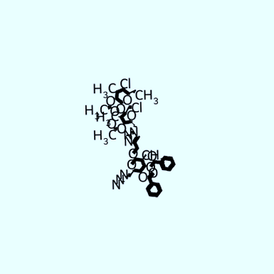 CC[C@H]1O[C@H](O[C@]2(CCl)O[C@H](Cn3cc(CO[C@H]4O[C@H](CN=[N+]=[N-])[C@@H](OC(=O)c5ccccc5)[C@H](OC(=O)c5ccccc5)[C@@H]4C)nn3)[C@@H](OC(C)=O)[C@@H]2C)[C@H](OC(C)=O)[C@@H](C)[C@H]1Cl